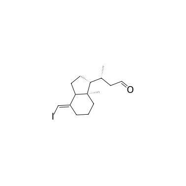 C[C@H](CC=O)[C@H]1CCC2/C(=C/I)CCC[C@@]21C